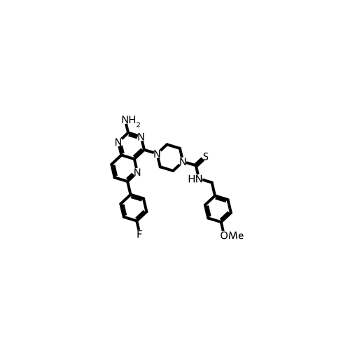 COc1ccc(CNC(=S)N2CCN(c3nc(N)nc4ccc(-c5ccc(F)cc5)nc34)CC2)cc1